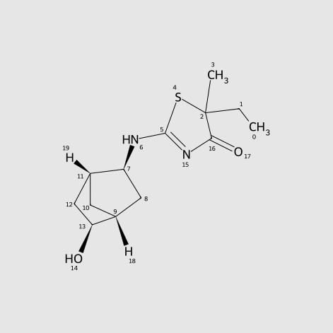 CCC1(C)SC(N[C@H]2C[C@H]3C[C@@H]2C[C@@H]3O)=NC1=O